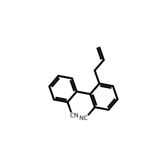 C=CCc1cccc(C#N)c1-c1ccccc1C#N